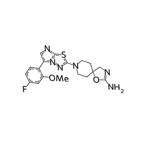 COc1cc(F)ccc1-c1cnc2sc(N3CCC4(CC3)CN=C(N)O4)nn12